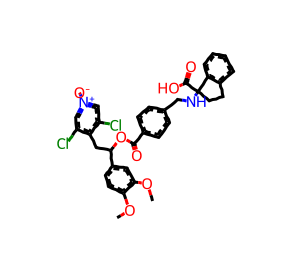 COc1ccc(C(Cc2c(Cl)c[n+]([O-])cc2Cl)OC(=O)c2ccc(CNC3(C(=O)O)CCc4ccccc43)cc2)cc1OC